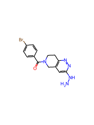 NNc1cc2c(nn1)CCN(C(=O)c1ccc(Br)cc1)C2